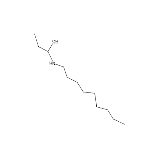 CCCCCCCCCNC(O)CC